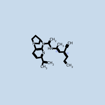 C#CC(=C/C=C)/C=C(\C)NC(=C)N1c2nc(C(=C)C)ccc2N2CCC1C2